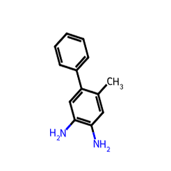 Cc1cc(N)c(N)cc1-c1ccccc1